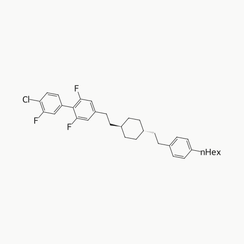 CCCCCCc1ccc(CC[C@H]2CC[C@H](CCc3cc(F)c(-c4ccc(Cl)c(F)c4)c(F)c3)CC2)cc1